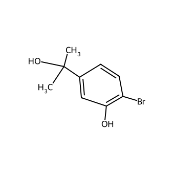 CC(C)(O)c1ccc(Br)c(O)c1